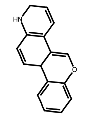 C1=CC2=C(C=CC3C2=COc2ccccc23)NC1